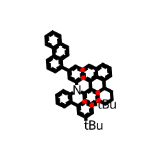 CC(C)(C)c1cc(-c2ccccc2N(c2cccc(-c3cccc4c3ccc3ccccc34)c2)c2ccccc2-c2cccc3cccc(C4CCCCC4)c23)cc(C(C)(C)C)c1